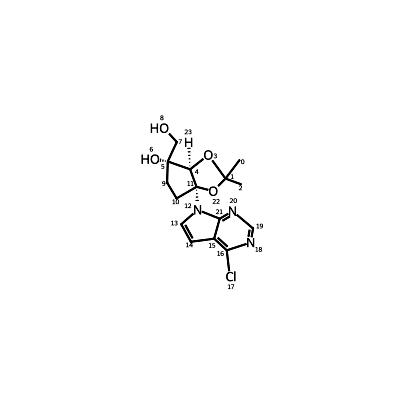 CC1(C)O[C@@H]2[C@](O)(CO)CC[C@]2(n2ccc3c(Cl)ncnc32)O1